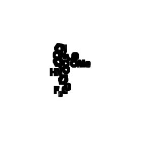 COC(=O)C1CN(c2ncccc2Cl)c2cccc(C(=O)Nc3ccc(OC(F)(F)F)cc3)c2O1